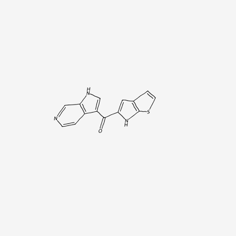 O=C(c1cc2ccsc2[nH]1)c1c[nH]c2cnccc12